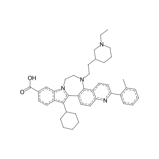 CCN1CCCC(CCN2CCn3c(c(C4CCCCC4)c4ccc(C(=O)O)cc43)-c3ccc4nc(-c5ccccc5C)ccc4c32)C1